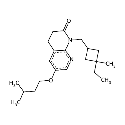 CCC1(C)CC(CN2C(=O)CCc3cc(OCCC(C)C)cnc32)C1